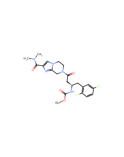 CN(C)C(=O)c1cn2c(n1)CN(C(=O)C[C@@H](Cc1cc(F)ccc1F)NC(=O)OC(C)(C)C)CC2